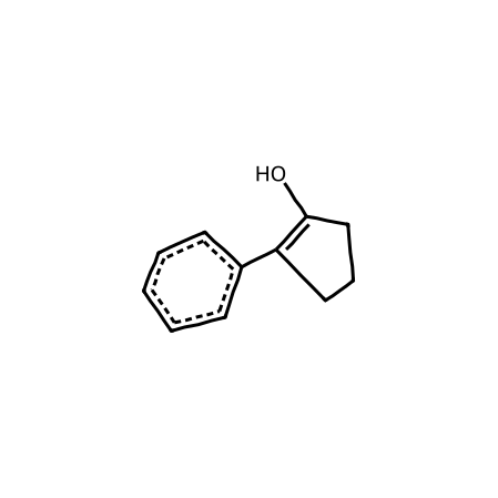 OC1=C(c2ccccc2)CCC1